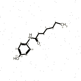 CCCCCCC(=O)Nc1ccc(O)cc1